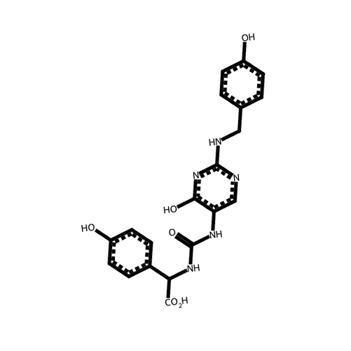 O=C(Nc1cnc(NCc2ccc(O)cc2)nc1O)NC(C(=O)O)c1ccc(O)cc1